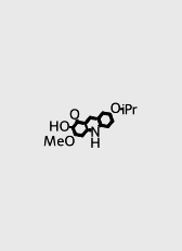 COc1cc2[nH]c3ccc(OC(C)C)cc3cc-2c(=O)c1O